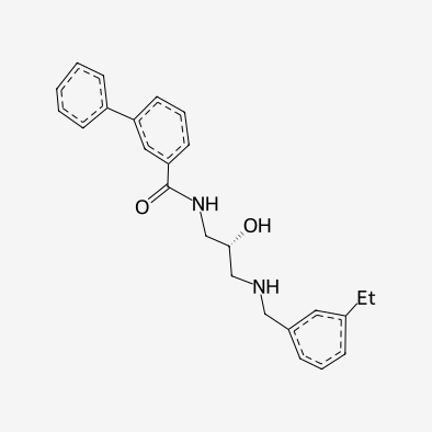 CCc1cccc(CNC[C@@H](O)CNC(=O)c2cccc(-c3ccccc3)c2)c1